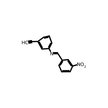 C#Cc1cccc(/N=C/c2cccc([N+](=O)[O-])c2)c1